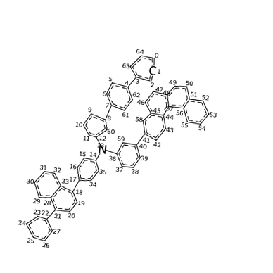 c1ccc(-c2ccc(-c3cccc(N(c4ccc(-c5ccc(-c6ccccc6)c6ccccc56)cc4)c4cccc(-c5ccc6c(ccc7ccc8ccccc8c76)c5)c4)c3)cc2)cc1